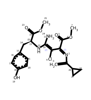 C=C(/N=C(C(=O)OC)\C(Cl)=C(/N)N[C@@H](Cc1ccc(O)cc1)C(=O)OC)C1CC1